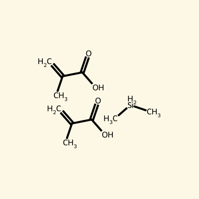 C=C(C)C(=O)O.C=C(C)C(=O)O.C[SiH2]C